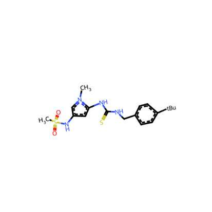 Cn1cc(NS(C)(=O)=O)cc1NC(=S)NCc1ccc(C(C)(C)C)cc1